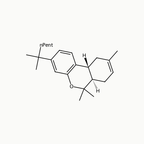 CCCCCC(C)(C)c1ccc2c(c1)OC(C)(C)[C@@H]1CC=C(C)C[C@@H]21